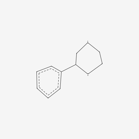 [CH]1CC[CH]C(c2ccccc2)C1